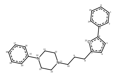 c1ccc(-c2ccc(CCCN3CCN(c4ccccc4)CC3)o2)cc1